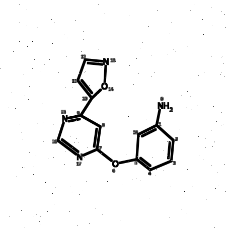 Nc1cccc(Oc2cc(-c3ccno3)ncn2)c1